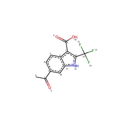 CC(=O)c1ccc2c(C(=O)O)c(C(F)(F)F)[nH]c2c1